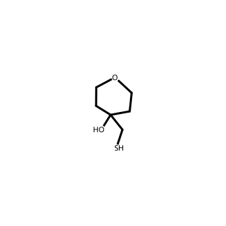 OC1(CS)CCOCC1